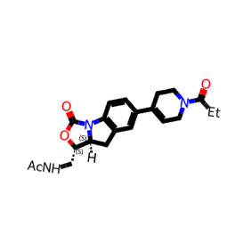 CCC(=O)N1CC=C(c2ccc3c(c2)C[C@H]2[C@H](CNC(C)=O)OC(=O)N32)CC1